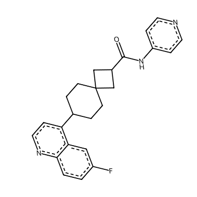 O=C(Nc1ccncc1)C1CC2(CCC(c3ccnc4ccc(F)cc34)CC2)C1